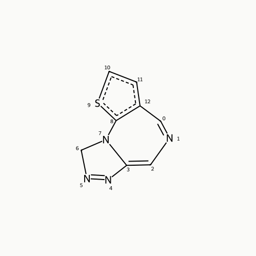 C1=NC=C2N=NCN2c2sccc21